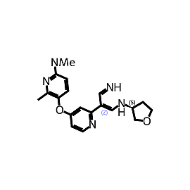 CNc1ccc(Oc2ccnc(/C(C=N)=C/N[C@H]3CCOC3)c2)c(C)n1